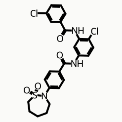 O=C(Nc1ccc(Cl)c(NC(=O)c2cccc(Cl)c2)c1)c1ccc(N2CCCCCS2(=O)=O)cc1